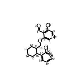 O=Cc1c(Cl)cncc1OCC1CCCCC1c1cccnc1Cl